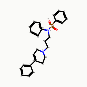 O=S(=O)(c1ccccc1)N(CCCN1CC=C(c2ccccc2)CC1)c1ccccc1